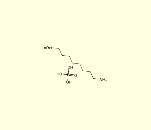 CCCCCCCCCCCCCCC[CH2][AlH2].O=P(O)(O)O